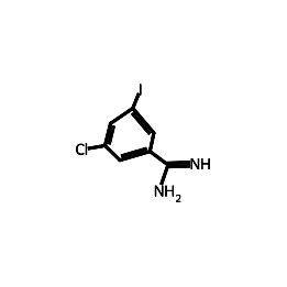 N=C(N)c1cc(Cl)cc(I)c1